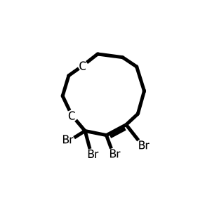 Br/C1=C(\Br)C(Br)(Br)CCCCCCCCC1